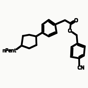 CCCCCC1CCC(c2ccc(CC(=O)OCc3ccc(C#N)cc3)cc2)CC1